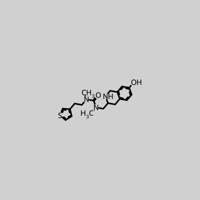 CN(CCc1ccsc1)C(=O)N(C)CC1Cc2ccc(O)cc2CN1